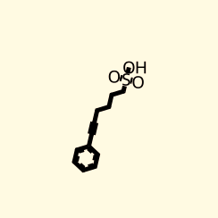 O=S(=O)(O)CCCCC#Cc1ccccc1